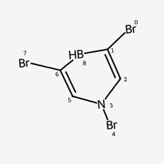 BrC1=CN(Br)C=C(Br)B1